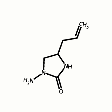 C=CCC1CN(N)C(=O)N1